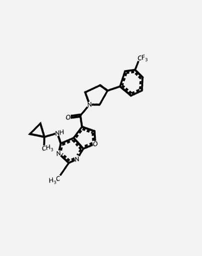 Cc1nc(NC2(C)CC2)c2c(C(=O)N3CCC(c4cccc(C(F)(F)F)c4)C3)coc2n1